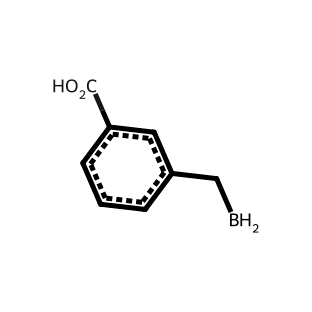 BCc1cccc(C(=O)O)c1